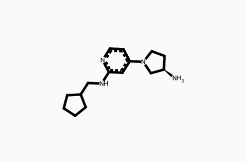 N[C@@H]1CCN(c2ccnc(NCC3CCCC3)c2)C1